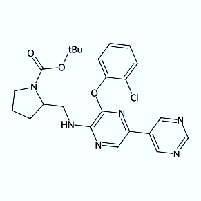 CC(C)(C)OC(=O)N1CCCC1CNc1ncc(-c2cncnc2)nc1Oc1ccccc1Cl